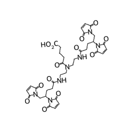 O=C(O)CCCC(=O)N(CCNC(=O)CCC(CN1C(=O)C=CC1=O)N1C(=O)C=CC1=O)CCNC(=O)CCC(CN1C(=O)C=CC1=O)N1C(=O)C=CC1=O